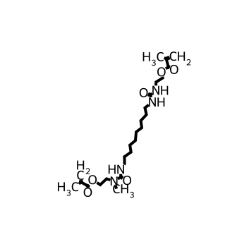 C=C(C)C(=O)OCCNC(=O)NCCCCCCCCCCNC(=O)N(C)CCOC(=O)C(=C)C